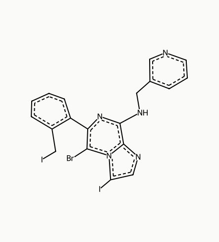 Brc1c(-c2ccccc2CI)nc(NCc2cccnc2)c2ncc(I)n12